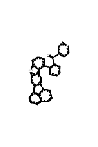 O=C(c1ccncc1)c1ccccc1-c1cccc2oc3cc4c(cc3c12)-c1cccc2cccc-4c12